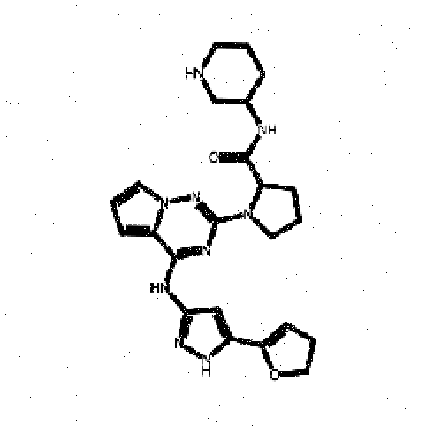 O=C(NC1CCCNC1)C1CCCN1c1nc(Nc2cc(C3=CCCO3)[nH]n2)c2cccn2n1